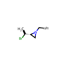 C=C(Br)[C@H]1CN1CCCC